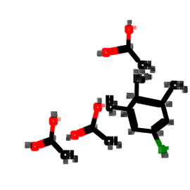 CC(=O)[O-].CC(=O)[O-].CC(=O)[O-].Cc1cc(Br)cc(C)[c]1[Pb+3]